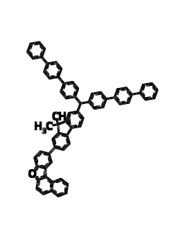 CC1(C)c2cc(-c3ccc4oc5ccc6ccccc6c5c4c3)ccc2-c2ccc(C(c3ccc(-c4ccc(-c5ccccc5)cc4)cc3)c3ccc(-c4ccc(-c5ccccc5)cc4)cc3)cc21